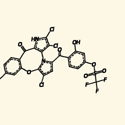 Cc1ccc2c(c1)Oc1c(Cl)cc(C(=O)c3ccc(OS(=O)(=O)C(F)(F)F)cc3O)n1-c1c([nH]c(Cl)c1Cl)C2=O